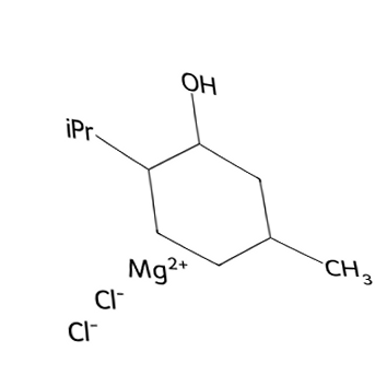 CC1CCC(C(C)C)C(O)C1.[Cl-].[Cl-].[Mg+2]